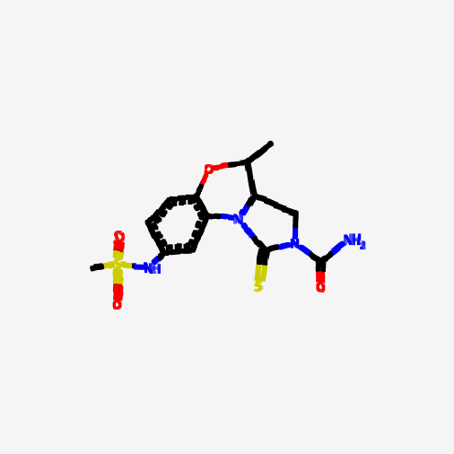 CC1Oc2ccc(NS(C)(=O)=O)cc2N2C(=S)N(C(N)=O)CC12